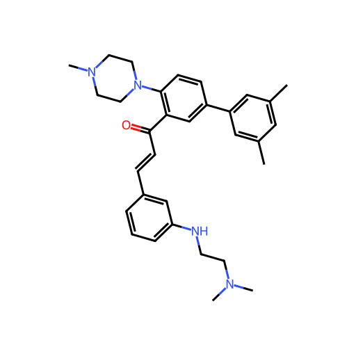 Cc1cc(C)cc(-c2ccc(N3CCN(C)CC3)c(C(=O)/C=C/c3cccc(NCCN(C)C)c3)c2)c1